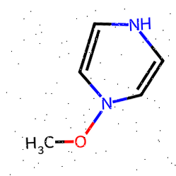 CON1C=CNC=C1